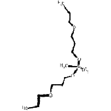 CCCOCCCO[Si](C)(C)OCCCOCCO